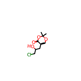 CC1(C)OC=C(CC(O)CCl)C(=O)O1